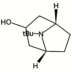 CC(C)(C)N1[C@@H]2CC[C@H]1CC(O)C2